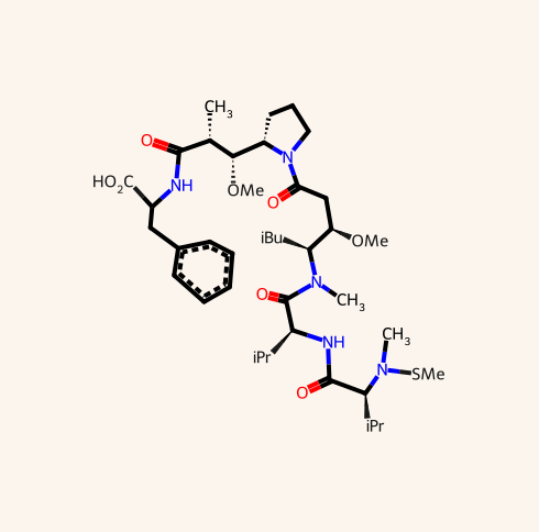 CCC(C)[C@@H]([C@@H](CC(=O)N1CCC[C@H]1[C@H](OC)[C@@H](C)C(=O)NC(Cc1ccccc1)C(=O)O)OC)N(C)C(=O)[C@@H](NC(=O)[C@H](C(C)C)N(C)SC)C(C)C